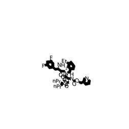 CCCC(CCC)S(=O)(=O)C[C@@H](NC(=O)OCc1cccnc1)C(=O)N(Cc1cccc(CC)c1)C[C@@H](O)[C@@H](N)Cc1cc(F)cc(F)c1